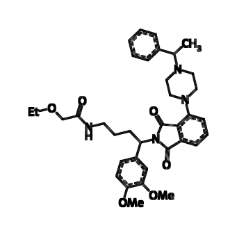 CCOCC(=O)NCCCC(c1ccc(OC)c(OC)c1)N1C(=O)c2cccc(N3CCN(C(C)c4ccccc4)CC3)c2C1=O